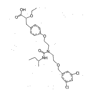 CCOC(Cc1ccc(OCCN(CCOCc2cc(Cl)cc(Cl)c2)C(=O)NC(C)CC)cc1)C(=O)O